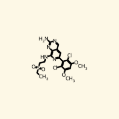 CCS(=O)(=O)CCNc1nc(-c2c(Cl)c(OC)cc(OC)c2Cl)cc2cnc(N)nc12